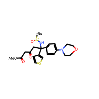 COC(=O)CC(=O)CC(N[S+]([O-])C(C)(C)C)(c1ccc(N2CCOCC2)cc1)c1ccsc1